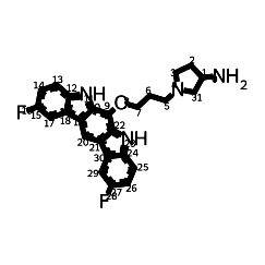 NC1CCN(CCCOc2c3[nH]c4ccc(F)cc4c3cc3c2[nH]c2ccc(F)cc23)C1